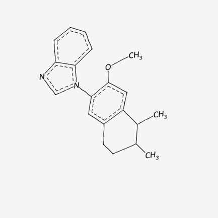 COc1cc2c(cc1-n1cnc3ccccc31)CCC(C)C2C